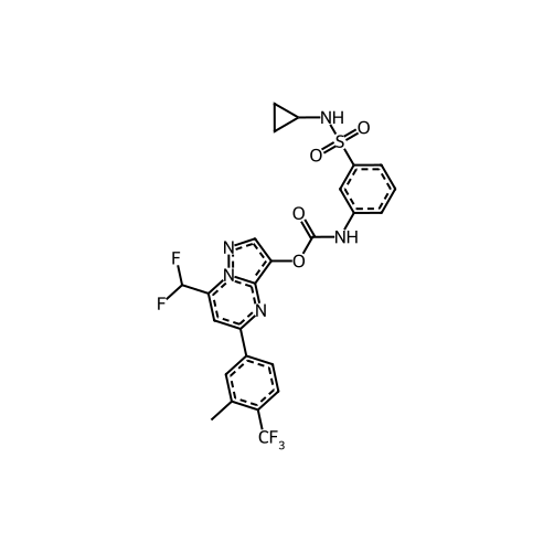 Cc1cc(-c2cc(C(F)F)n3ncc(OC(=O)Nc4cccc(S(=O)(=O)NC5CC5)c4)c3n2)ccc1C(F)(F)F